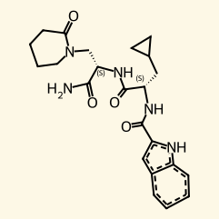 NC(=O)[C@H](CN1CCCCC1=O)NC(=O)[C@H](CC1CC1)NC(=O)c1cc2ccccc2[nH]1